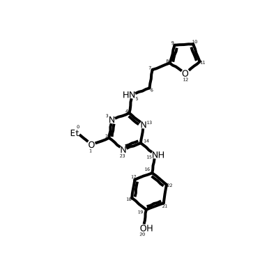 CCOc1nc(NCCc2ccco2)nc(Nc2ccc(O)cc2)n1